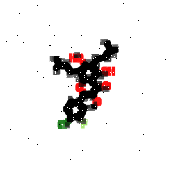 COc1c(-c2ccc(Cl)c(F)c2)oc2c(CC=C(C)C)c(O)c(CC=C(C)C)c(O)c2c1=O